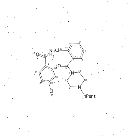 CCCCCN1CCN(C(=O)c2ccccc2Cl)CC1.NC(=O)c1ccc(Cl)cc1